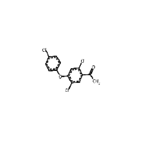 CC(=O)c1cc(Cl)c(Oc2ccc(Cl)cc2)cc1Cl